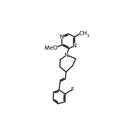 COc1ncc(C)nc1N1CCC(C=Cc2ccccc2F)CC1